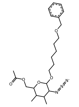 CC(=O)OCC1OC(OCCCCCCOCc2ccccc2)C(N=[N+]=[N-])C(C)C1C